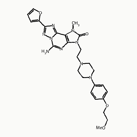 COCCOc1ccc(N2CCN(CCn3c(=O)n(C)c4c3nc(N)n3nc(-c5ccco5)nc43)CC2)cc1